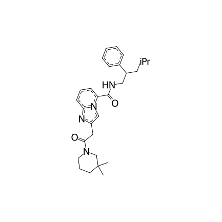 CC(C)CC(CNC(=O)c1cccc2nc(CC(=O)N3CCCC(C)(C)C3)cn12)c1ccccc1